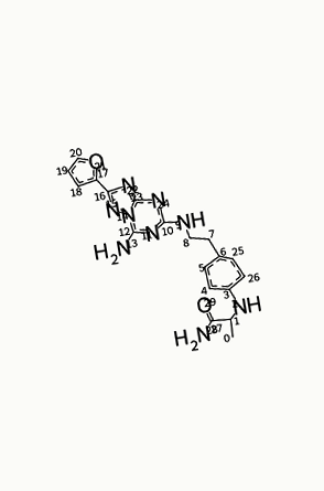 CC(Nc1ccc(CCNc2nc(N)n3nc(-c4ccco4)nc3n2)cc1)C(N)=O